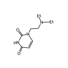 CCN(CC)CCn1ccc(=O)[nH]c1=O